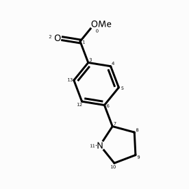 COC(=O)c1ccc(C2CCC[N]2)cc1